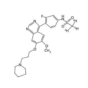 [2H]C([2H])([2H])S(=O)(=O)Nc1ccc(-c2ncnc3cc(OCCCN4CCCCC4)c(OC)cc23)c(F)c1